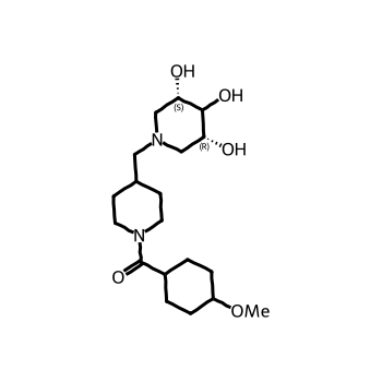 COC1CCC(C(=O)N2CCC(CN3C[C@@H](O)C(O)[C@@H](O)C3)CC2)CC1